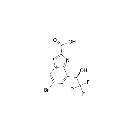 O=C(O)c1cn2cc(Br)cc([C@@H](O)C(F)(F)F)c2n1